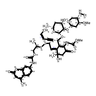 C/C=C\C#C[C@H](O[C@@H]1O[C@H](C)C[C@H](O)[C@H]1O[C@H]1C[C@H](OC)[C@@H](NCC)CO1)C1=C(NC(=O)OC)C(=O)C[C@](C)(O)/C1=C/CSS[C@H](C)COC(=O)Nc1ccc2c(C)cc(=O)oc2c1